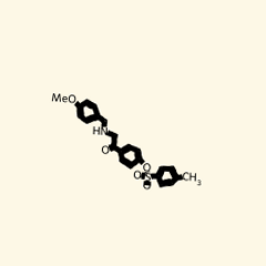 COc1ccc(CNCC(=O)c2ccc(OS(=O)(=O)c3ccc(C)cc3)cc2)cc1